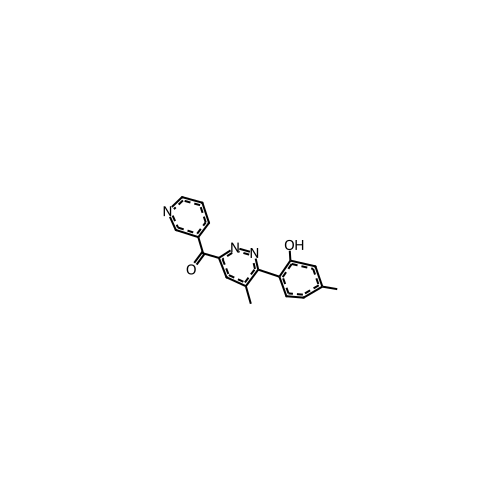 Cc1ccc(-c2nnc(C(=O)c3cccnc3)cc2C)c(O)c1